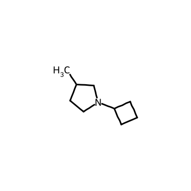 CC1CCN(C2CCC2)C1